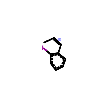 C/C=C\c1ccccc1I